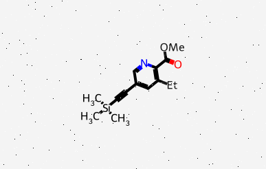 CCc1cc(C#C[Si](C)(C)C)cnc1C(=O)OC